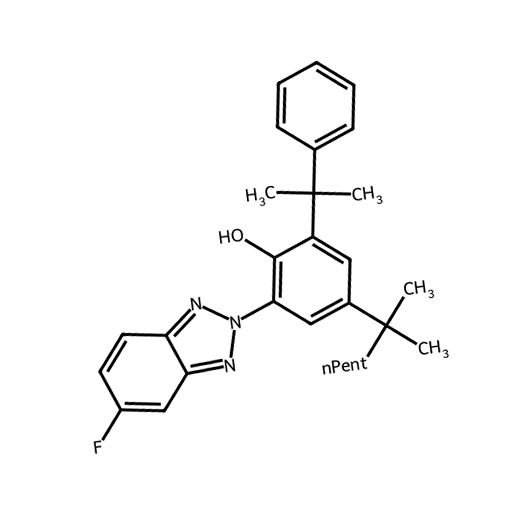 CCCCCC(C)(C)c1cc(-n2nc3ccc(F)cc3n2)c(O)c(C(C)(C)c2ccccc2)c1